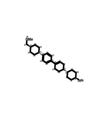 CCC[C@H]1CC[C@H](C2CC=C(c3ccc([C@H]4CC[C@H](COC)CC4)cc3)CC2)CC1